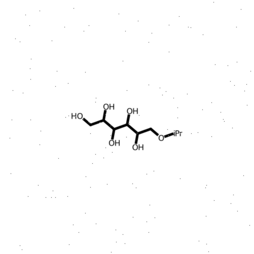 CC(C)OCC(O)C(O)C(O)C(O)CO